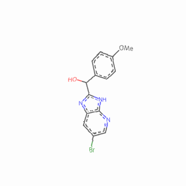 COc1ccc(C(O)c2nc3cc(Br)cnc3[nH]2)cc1